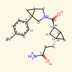 CC(C)c1ccc(C23CC2CN(C(=O)[C@@H]2C[C@]4(CCC(N)=O)CC24)C3)cc1